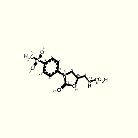 CS(=O)(=O)c1ccc(N2CC(CNC(=O)O)OC2=O)cc1